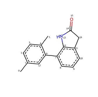 Cc1ccc(C)c(-c2cccc3c2NC(=O)C3)c1